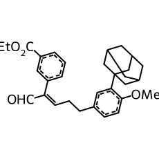 CCOC(=O)c1cccc(C(C=O)=CCCc2ccc(OC)c(C34CC5CC(CC(C5)C3)C4)c2)c1